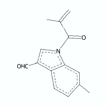 C=C(C)C(=O)n1cc(C=O)c2ccc(C)cc21